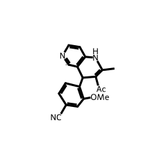 COc1cc(C#N)ccc1C1C(C(C)=O)=C(C)Nc2ccn[c]c21